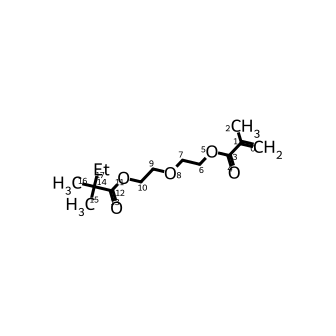 C=C(C)C(=O)OCCOCCOC(=O)C(C)(C)CC